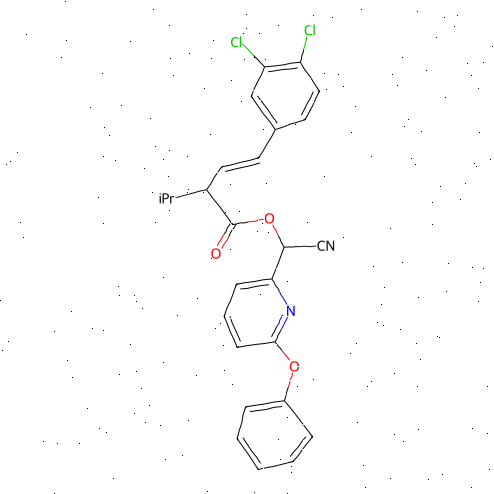 CC(C)C(C=Cc1ccc(Cl)c(Cl)c1)C(=O)OC(C#N)c1cccc(Oc2ccccc2)n1